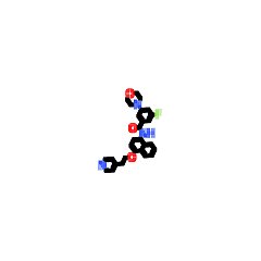 O=C(Nc1ccc(OCCc2ccncc2)c2ccccc12)c1cc(F)cc(N2CCOCC2)c1